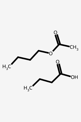 CCCC(=O)O.CCCCOC(C)=O